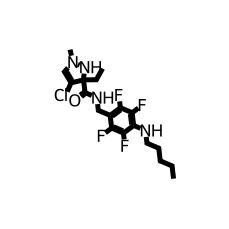 CCCCCNc1c(F)c(F)c(CNC(=O)C2(CC)NN(C)C=C2Cl)c(F)c1F